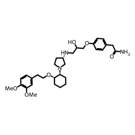 COc1ccc(CCO[C@@H]2CCCC[C@@H]2N2CC[C@H](NCC(O)COc3ccc(CC(N)=O)cc3)C2)cc1OC